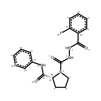 O=C(NNC(=O)N1CCC[C@@H]1C(=O)Nc1cccnc1)c1ccccc1F